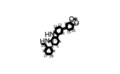 CC(NC1CCCc2c1[nH]c1ccc(-c3ccc4c(c3)OCO4)cc21)c1ccccc1